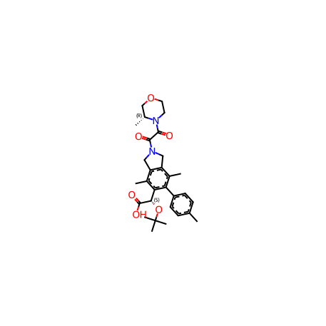 Cc1ccc(-c2c(C)c3c(c(C)c2[C@H](OC(C)(C)C)C(=O)O)CN(C(=O)C(=O)N2CCOC[C@H]2C)C3)cc1